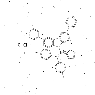 Cc1ccc([C](c2ccc(C)cc2)=[Ti+2]([C]2=CC=CC2)[CH]2c3ccc(-c4ccccc4)cc3-c3cc(-c4ccccc4)ccc32)cc1.[Cl-].[Cl-]